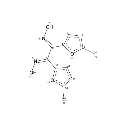 CCc1ccc(C(=N\O)/C(=N/O)c2ccc(CC)o2)o1